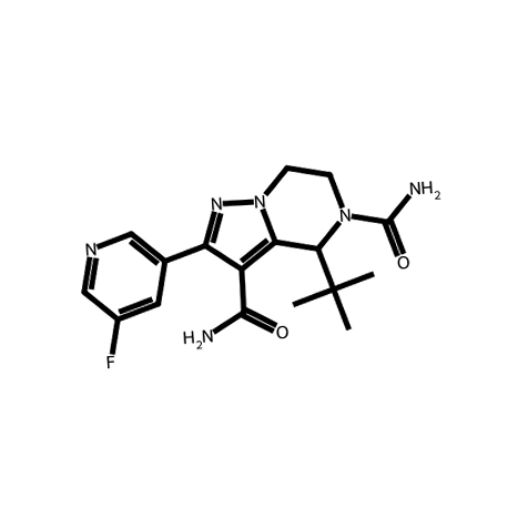 CC(C)(C)C1c2c(C(N)=O)c(-c3cncc(F)c3)nn2CCN1C(N)=O